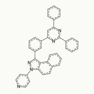 c1ccc(-c2cc(-c3cccc(-c4nn(-c5ccncc5)c5ccc6ccccc6c45)c3)nc(-c3ccccc3)n2)cc1